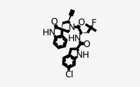 C#C[C@@H]1C[C@@]2(CN1C(=O)[C@H](CC(C)(C)F)NC(=O)C1Cc3ccc(Cl)cc3N1)C(=O)Nc1ccccc12